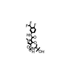 Cn1cc2c(c1C(=O)Nc1ccc(F)c(C(F)F)c1)OC[C@@H](C(C)(C)O)NS2(=O)=O